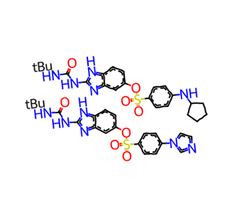 CC(C)(C)NC(=O)Nc1nc2cc(OS(=O)(=O)c3ccc(-n4ccnc4)cc3)ccc2[nH]1.CC(C)(C)NC(=O)Nc1nc2cc(OS(=O)(=O)c3ccc(NC4CCCC4)cc3)ccc2[nH]1